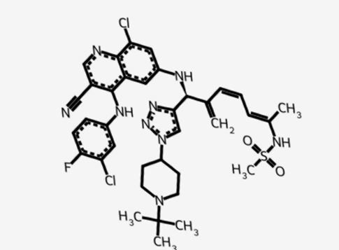 C=C(/C=C\C=C(/C)NS(C)(=O)=O)[C@H](Nc1cc(Cl)c2ncc(C#N)c(Nc3ccc(F)c(Cl)c3)c2c1)c1cn(C2CCN(C(C)(C)C)CC2)nn1